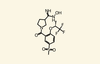 C[C@H](Oc1ccc(S(C)(=O)=O)cc1C(=O)N1CCC(C(=N)NO)C1)C(F)(F)F